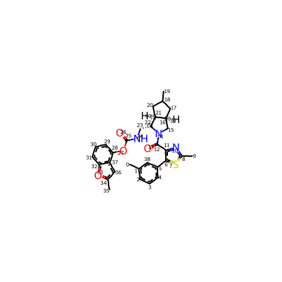 Cc1cccc(-c2sc(C)nc2C(=O)N2C[C@@H]3CC(C)C[C@@H]3[C@H]2CNC(=O)Oc2cccc3oc(C)cc23)c1